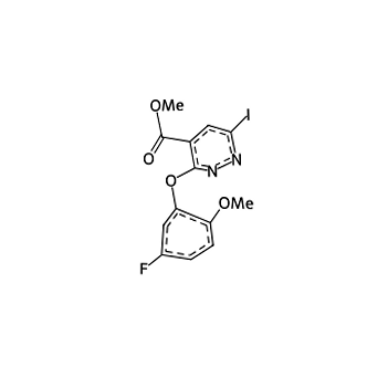 COC(=O)c1cc(I)nnc1Oc1cc(F)ccc1OC